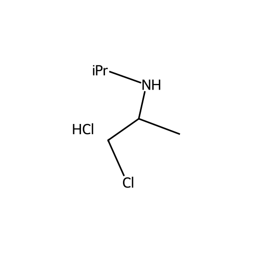 CC(C)NC(C)CCl.Cl